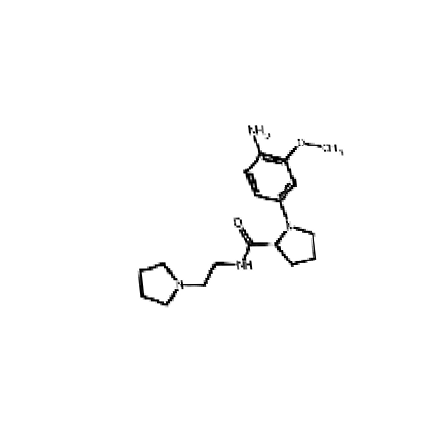 COc1cc(N2CCC[C@H]2C(=O)NCCN2CCCC2)ccc1N